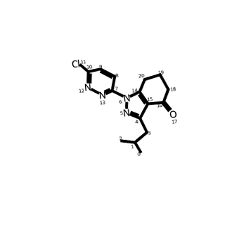 CC(C)Cc1nn(-c2ccc(Cl)nn2)c2c1C(=O)CCC2